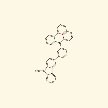 CC(C)(C)n1c2ccccc2c2cc(-c3cccc(N(c4ccccc4)c4ccccc4-c4ccccc4)c3)ccc21